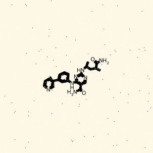 CC(CC(C)C(N)=O)Nc1ncc(C(N)=O)c(Nc2cccc(-c3cccnc3)c2)n1